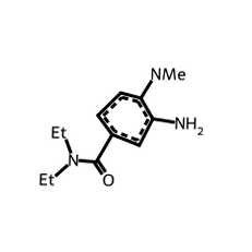 CCN(CC)C(=O)c1ccc(NC)c(N)c1